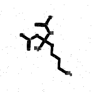 CCCCOC(C)(N[N+](=O)[O-])O[N+](=O)[O-]